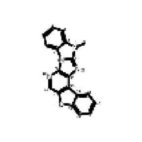 Cn1c2ccccc2n2c3ncc4oc5ccccc5c4c3nc12